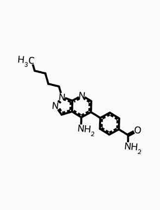 CCCCCn1ncc2c(N)c(-c3ccc(C(N)=O)cc3)cnc21